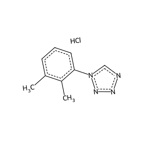 Cc1cccc(-n2cnnn2)c1C.Cl